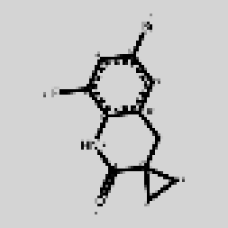 O=C1Nc2c(F)cc(Br)cc2CC12CC2